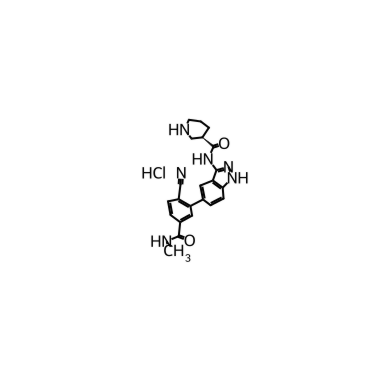 CNC(=O)c1ccc(C#N)c(-c2ccc3[nH]nc(NC(=O)[C@@H]4CCCNC4)c3c2)c1.Cl